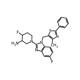 Cc1nc(-c2ccccc2)sc1Cn1c(N2CCC(F)C(N)C2)nc2cc(F)ccc21